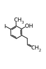 C=CCc1ccc(I)c(C)c1O